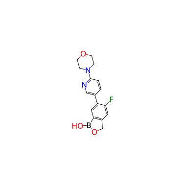 OB1OCc2cc(F)c(-c3ccc(N4CCOCC4)nc3)cc21